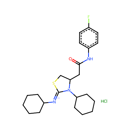 Cl.O=C(CC1CS/C(=N\C2CCCCC2)N1C1CCCCC1)Nc1ccc(F)cc1